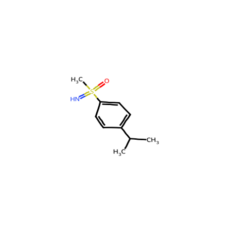 CC(C)c1ccc(S(C)(=N)=O)cc1